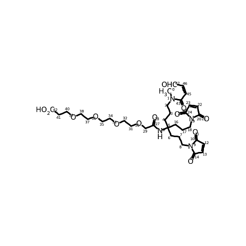 CN(CCCC(CCCN1C(=O)C=CC1=O)(CCCN1C(=O)C=CC1=O)NC(=O)COCCOCCOCCOCCC(=O)O)C(=O)/C=C\C=O